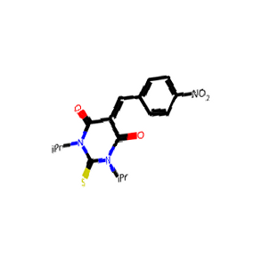 CC(C)N1C(=O)C(=Cc2ccc([N+](=O)[O-])cc2)C(=O)N(C(C)C)C1=S